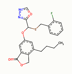 CCCCc1cc(OC(SCc2ccccc2F)c2nnco2)cc2c1COC2=O